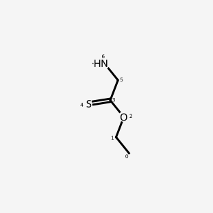 CCOC(=S)C[NH]